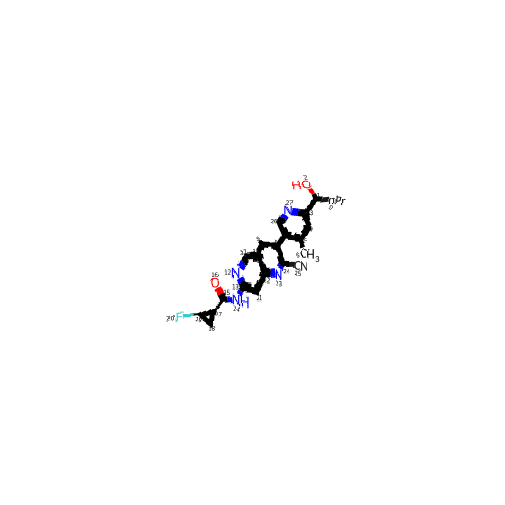 CCCC(O)c1cc(C)c(-c2cc3cnc(NC(=O)[C@H]4C[C@H]4F)cc3nc2C#N)cn1